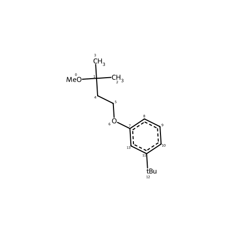 COC(C)(C)CCOc1cccc(C(C)(C)C)c1